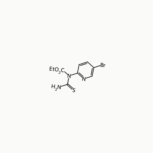 CCOC(=O)N(C(N)=S)c1ccc(Br)cn1